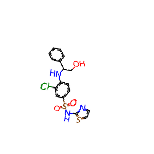 O=S(=O)(Nc1nccs1)c1ccc(NC(CO)c2ccccc2)c(Cl)c1